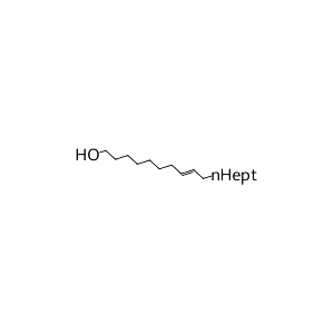 CCCCCCCCC=CCCCCCCCO